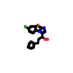 OC(CCc1ccccc1)c1cnc2sc3cc(F)ccc3n12